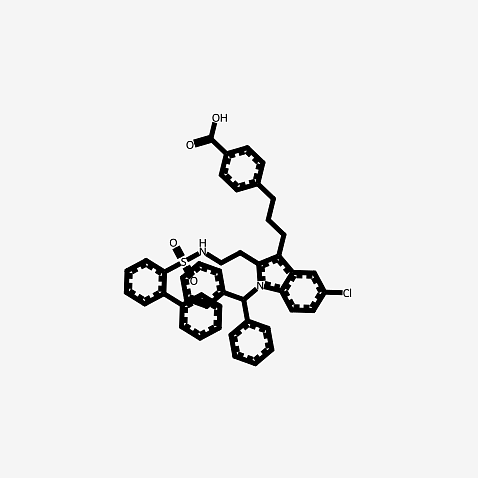 O=C(O)c1ccc(CCCc2c(CCNS(=O)(=O)c3ccccc3-c3ccccc3)n(C(c3ccccc3)c3ccccc3)c3ccc(Cl)cc23)cc1